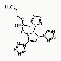 CCCOP(=O)(O)ON1C(n2cnnn2)=CN(n2cnnn2)N1n1cnnn1